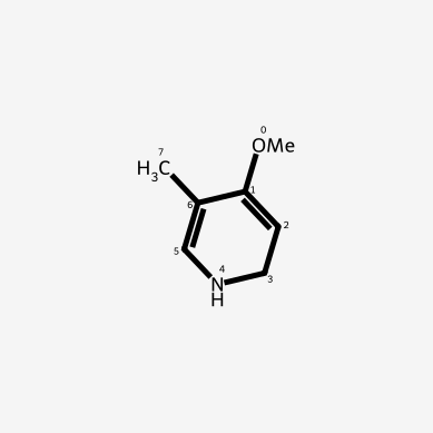 COC1=CCNC=C1C